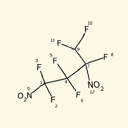 O=[N+]([O-])C(F)(F)C(F)(F)C(F)([C](F)F)[N+](=O)[O-]